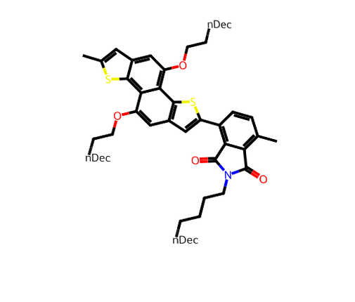 CCCCCCCCCCCCCCN1C(=O)c2c(C)ccc(-c3cc4cc(OCCCCCCCCCCCC)c5c6sc(C)cc6cc(OCCCCCCCCCCCC)c5c4s3)c2C1=O